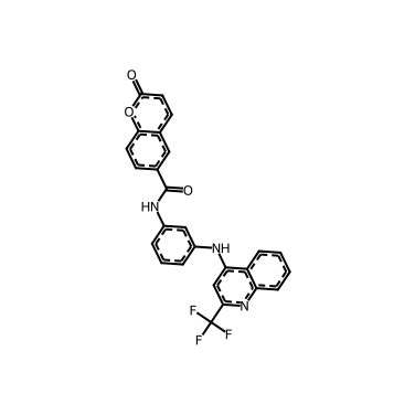 O=C(Nc1cccc(Nc2cc(C(F)(F)F)nc3ccccc23)c1)c1ccc2oc(=O)ccc2c1